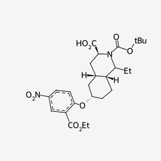 CCOC(=O)c1cc([N+](=O)[O-])ccc1O[C@H]1CC[C@H]2C(CC)N(C(=O)OC(C)(C)C)[C@H](C(=O)O)C[C@H]2C1